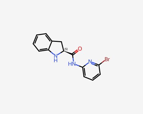 O=C(Nc1cccc(Br)n1)[C@@H]1Cc2ccccc2N1